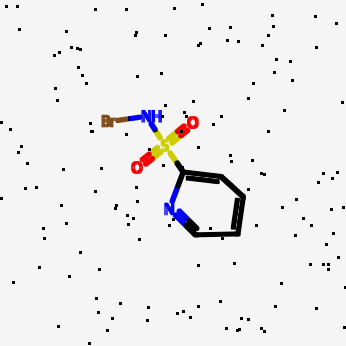 O=S(=O)(NBr)c1ccccn1